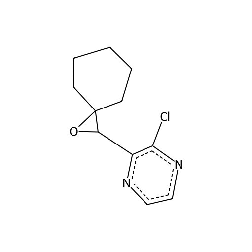 Clc1nccnc1C1OC12CCCCC2